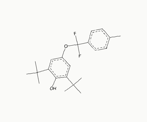 Cc1ccc(C(F)(F)Oc2cc(C(C)(C)C)c(O)c(C(C)(C)C)c2)cc1